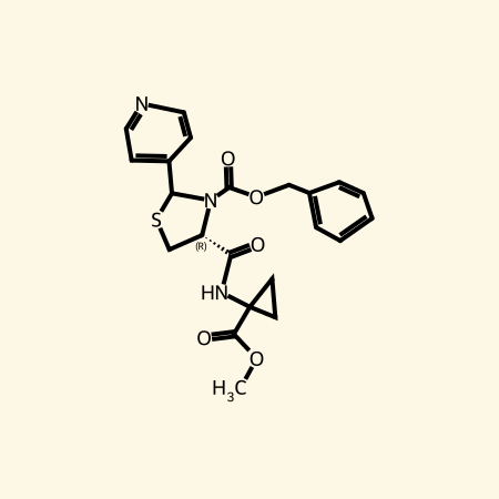 COC(=O)C1(NC(=O)[C@@H]2CSC(c3ccncc3)N2C(=O)OCc2ccccc2)CC1